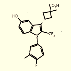 Cc1cc(-n2c(C(F)(F)F)c([C@H]3C[C@](C)(C(=O)O)C3)c3cc(O)ccc32)ccc1F